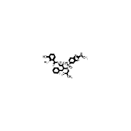 CNc1nc2ccc(S(=O)(=O)N(CC(C)C)C(Cc3ccccc3)C(O)CNC(=O)c3cccc(O)c3C)cc2o1